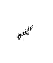 COc1ccc(CNc2ncc(Cc3c[nH]c4ncc(C)cc34)cc2OC)cn1